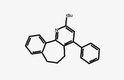 CC(C)(C)c1cc(-c2ccccc2)c2c(n1)-c1ccccc1CCC2